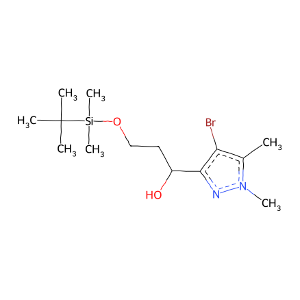 Cc1c(Br)c(C(O)CCO[Si](C)(C)C(C)(C)C)nn1C